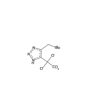 CC(C)(C)Cc1nn[nH]c1C(Cl)(Cl)C(Cl)(Cl)Cl